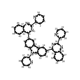 c1ccc(-c2nc(-c3ccc4c(c3)c3cc(-c5nc(-c6ccccn6)nc6ccccc56)ccc3n4-c3ccccn3)c3ccccc3n2)nc1